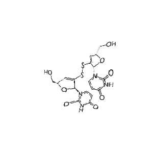 O=c1ccn([C@H]2O[C@@H](CO)C=C2SSC2=C[C@H](CO)O[C@@H]2n2ccc(=O)[nH]c2=O)c(=O)[nH]1